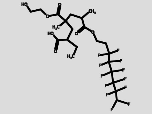 CCC(CC(C)(CC(C)C(=O)OCCC(F)(F)C(F)(F)C(F)(F)C(F)(F)C(F)(F)C(F)F)C(=O)OCCO)C(=O)O